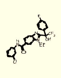 CCn1c(C(O)(c2ccc(F)cc2)C(F)(F)F)nc2ccc(C(=O)Nc3cccc(Cl)c3)cc21